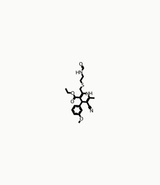 CCOC(=O)C1=C(CSCCNC=O)NC(C)=C(C#N)C1c1cccc(OC)c1